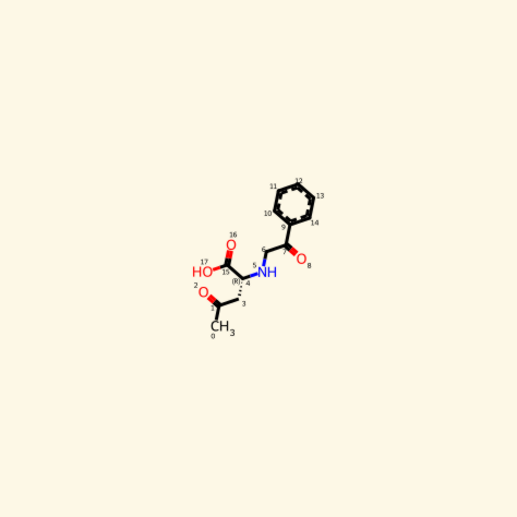 CC(=O)C[C@@H](NCC(=O)c1ccccc1)C(=O)O